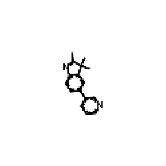 CC1=Nc2ccc(-c3cccnc3)cc2C1(C)C